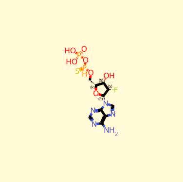 Nc1ncnc2c1ncn2[C@@H]1O[C@H](CO[PH](=S)OP(=O)(O)O)[C@H](O)[C@@H]1F